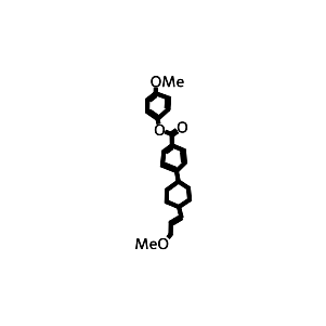 COCC=CC1CCC(c2ccc(C(=O)Oc3ccc(OC)cc3)cc2)CC1